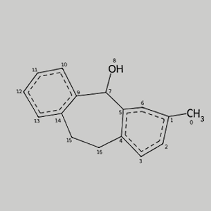 Cc1ccc2c(c1)C(O)c1ccccc1CC2